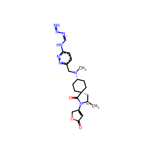 C[C@@H]1C[C@]2(CC[C@@H](N(C)Cc3ccc(N/C=N\N=N)nn3)CC2)C(=O)N1C1=CC(=O)OC1